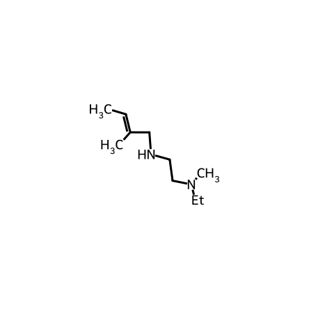 C/C=C(\C)CNCCN(C)CC